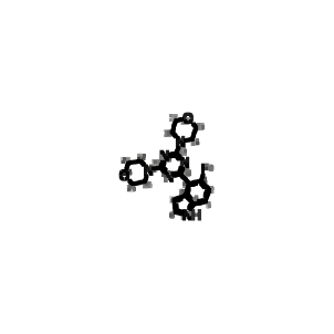 Fc1ccc2[nH]ccc2c1-c1nc(N2CCOCC2)nc(N2CCOCC2)n1